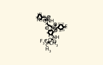 CC(C)(OC(=O)Nc1ccc2c(c1)N(S(=O)(=O)c1ccc(F)cc1)CC(CNS(=O)(=O)Cc1cccnc1)O2)C(F)(F)F